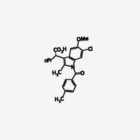 CCCC(C(=O)O)c1c(C)n(C(=O)c2ccc(C)cc2)c2cc(Cl)c(OC)cc12